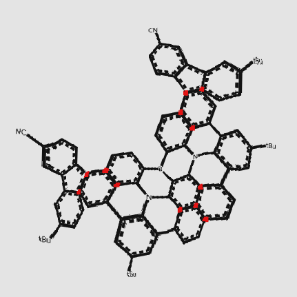 [C-]#[N+]c1ccc2c(c1)c1cc(C(C)(C)C)ccc1n2-c1ccc2c(c1)N(c1c(-c3ccccc3)cc(C(C)(C)C)cc1-c1ccccc1)c1cccc3c1B2c1ccc(-n2c4ccc(C#N)cc4c4cc(C(C)(C)C)ccc42)cc1N3c1c(-c2ccccc2)cc(C(C)(C)C)cc1-c1ccccc1